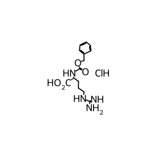 Cl.N=C(N)NCCC[C@H](NC(=O)OCc1ccccc1)C(=O)O